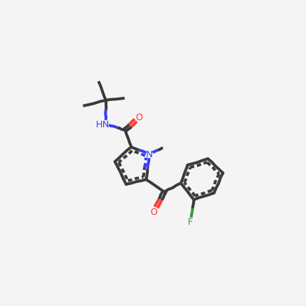 Cn1c(C(=O)NC(C)(C)C)ccc1C(=O)c1ccccc1F